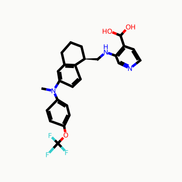 CN(c1ccc(OC(F)(F)F)cc1)c1ccc2c(c1)CCC[C@H]2CNc1cnccc1C(O)O